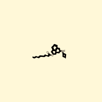 CCCCCCCCC(=O)Oc1cc2c3c(cccc3c1)CC(NC1CCC1)C2